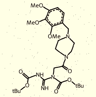 COc1ccc(CN2CCN(C(=O)CN(C(=N)NC(=O)OC(C)(C)C)C(=O)OC(C)(C)C)CC2)c(OC)c1OC